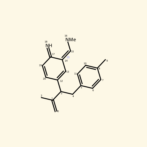 C=C(C)C(Cc1ccc(C)cc1)C1=C/C(=C/NC)C(=N)C=C1